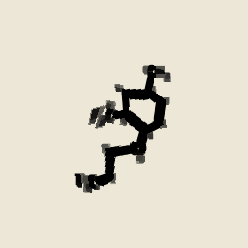 Cc1ccc(OCCC(F)(F)F)c(C(F)(F)F)c1